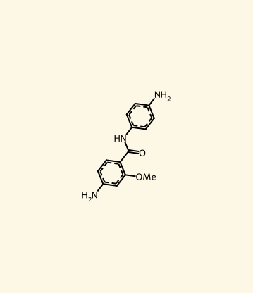 COc1cc(N)ccc1C(=O)Nc1ccc(N)cc1